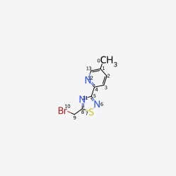 Cc1ccc(-c2nsc(CBr)n2)nc1